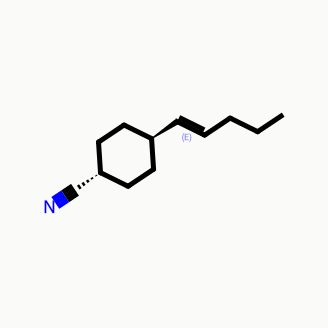 CCC/C=C/[C@H]1CC[C@H](C#N)CC1